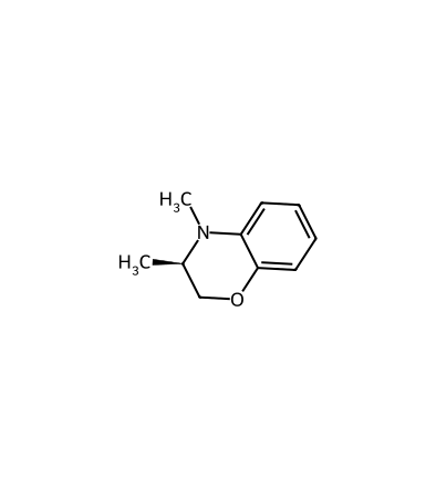 C[C@@H]1COc2ccccc2N1C